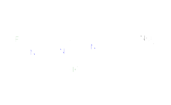 Cl.O=[N+]([O-])c1ccc(CNC2CCN(c3ccc(F)nc3)C2)cc1